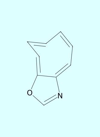 C1=C\C=c2\nco\c2=C/C=C/1